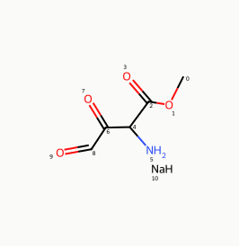 COC(=O)C(N)C(=O)C=O.[NaH]